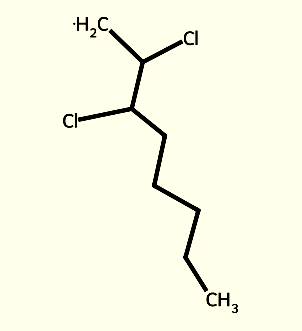 [CH2]C(Cl)C(Cl)CCCCC